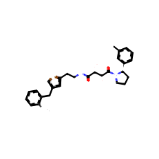 Cc1cccc([C@H]2CCCN2C(=O)[C@H](O)[C@@H](O)C(=O)NCCc2cc(Cc3ccccc3C#N)cs2)c1